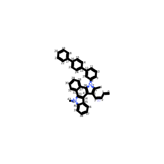 C=C/C=C\c1c(C)n(-c2cccc(-c3ccc(-c4ccccc4)cc3)c2)c2c3ccccc3c3c(c4ccccc4n3C)c12